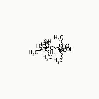 CCCCOC(C)(OCCCC)OP(=O)(O)O.CCCCOCC(OCCCC)(OCCCC)OP(=O)(O)O